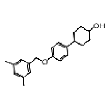 Cc1cc(C)cc(COc2ccc(C3CCC(O)CC3)cc2)c1